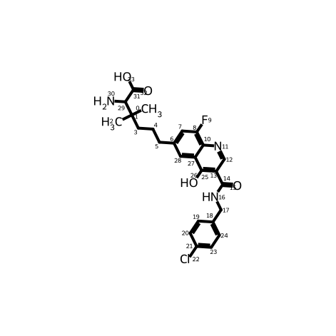 CC(C)(CCCc1cc(F)c2ncc(C(=O)NCc3ccc(Cl)cc3)c(O)c2c1)C(N)C(=O)O